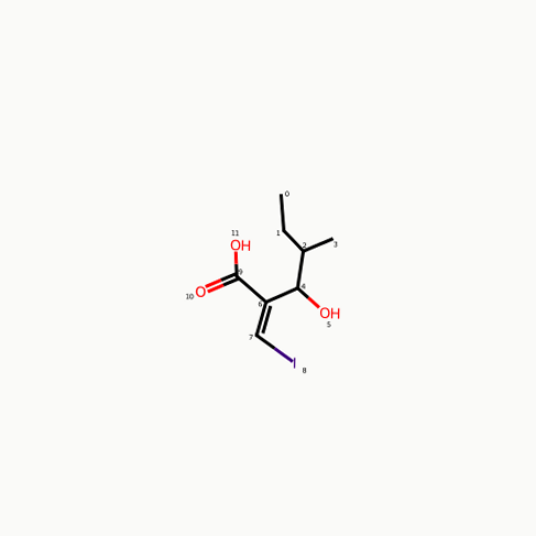 CCC(C)C(O)/C(=C\I)C(=O)O